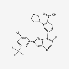 O=C(O)c1ccc(-c2c(F)cnc3cn(-c4cc(Cl)cc(C(F)(F)F)c4)nc23)cc1C1CCCC1